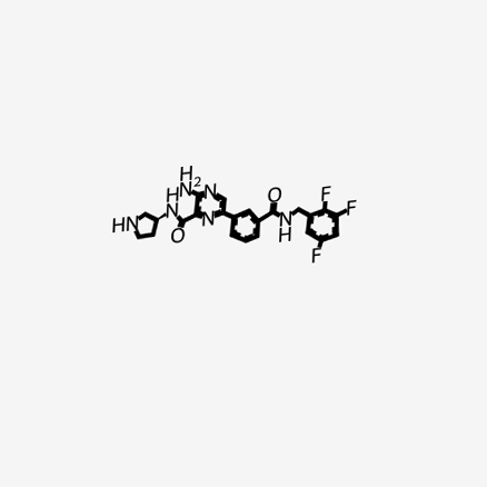 Nc1ncc(-c2cccc(C(=O)NCc3cc(F)cc(F)c3F)c2)nc1C(=O)N[C@H]1CCNC1